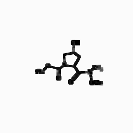 CON(C)C(=O)C1CC(O)CN1C(=O)OC(C)(C)C